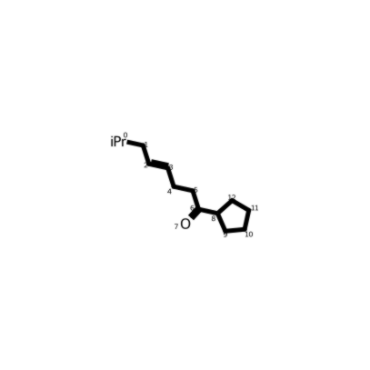 CC(C)CC=CCCC(=O)C1CCCC1